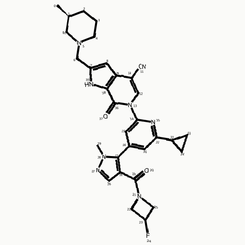 C[C@H]1CCCN(Cc2cc3c(C#N)cn(-c4cc(-c5c(C(=O)N6CC(F)C6)cnn5C)cc(C5CC5)n4)c(=O)c3[nH]2)C1